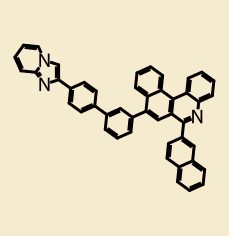 c1cc(-c2ccc(-c3cn4ccccc4n3)cc2)cc(-c2cc3c(-c4ccc5ccccc5c4)nc4ccccc4c3c3ccccc23)c1